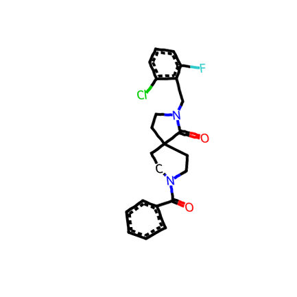 O=C(c1ccccc1)N1CCC2(CC1)CCN(Cc1c(F)cccc1Cl)C2=O